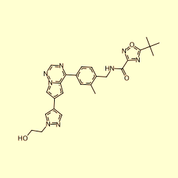 Cc1cc(-c2ncnn3cc(-c4cnn(CCO)c4)cc23)ccc1CNC(=O)c1noc(C(C)(C)C)n1